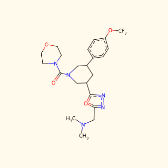 CN(C)Cc1nnc(C2CC(c3ccc(OC(F)(F)F)cc3)CN(C(=O)N3CCOCC3)C2)o1